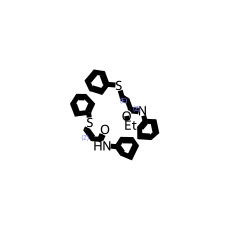 CCOC(/C=C/Sc1ccccc1)=N\c1ccccc1.O=C(/C=C\Sc1ccccc1)Nc1ccccc1